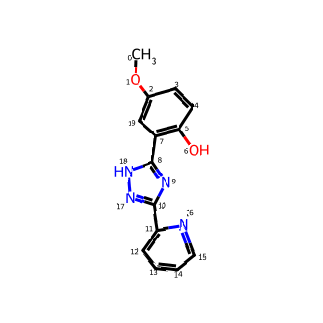 COc1ccc(O)c(-c2nc(-c3ccccn3)n[nH]2)c1